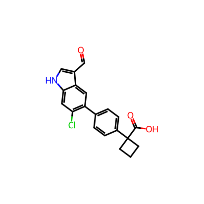 O=Cc1c[nH]c2cc(Cl)c(-c3ccc(C4(C(=O)O)CCC4)cc3)cc12